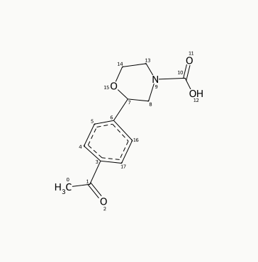 CC(=O)c1ccc(C2CN(C(=O)O)CCO2)cc1